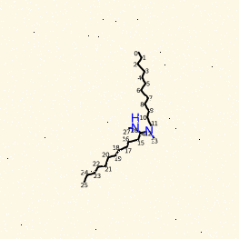 CCCCCCCCCCCCN(C)C(CCCCCCCCCCC)NC